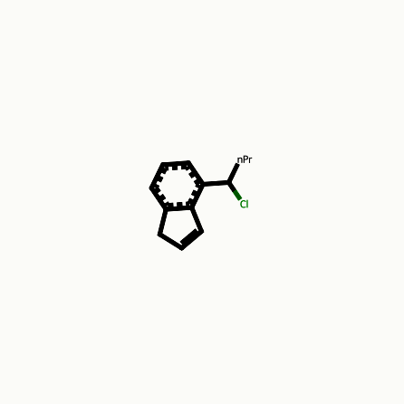 [CH2]CCC(Cl)c1cccc2c1C=CC2